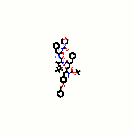 CC(C)C(NC(=O)C(Cc1ccccc1)CC(O[Si](C)(C)C(C)(C)C)C(Cc1ccc(OCc2ccccc2)cc1)NC(=O)OC(C)(C)C)C(=O)NC(Cc1ccccc1)C(=O)NC(=O)N1CCOCC1